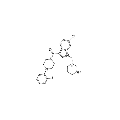 O=C(c1cn(C[C@H]2CCCNC2)c2cc(Cl)ccc12)N1CCN(c2ccccc2F)CC1